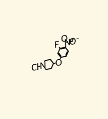 O=[N+]([O-])c1ccc(OC2CCN(Cl)CC2)cc1F